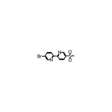 CS(=O)(=O)c1ccc(-c2ccc(Br)cn2)nc1